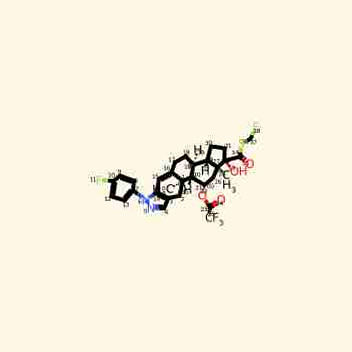 C[C@]12Cc3cnn(-c4ccc(F)cc4)c3C=C1CC[C@@H]1[C@@H]2[C@@H](OC(=O)C(F)(F)F)C[C@@]2(C)[C@H]1CC[C@]2(O)C(=O)SCF